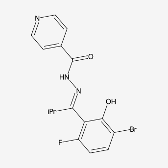 CC(C)/C(=N\NC(=O)c1ccncc1)c1c(F)ccc(Br)c1O